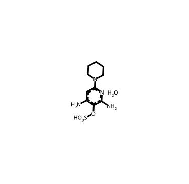 Nc1cc(N2CCCCC2)nc(N)c1OS(=O)(=O)O.O